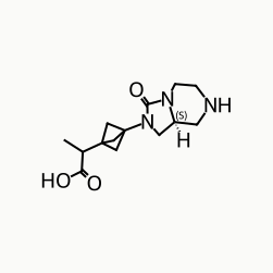 CC(C(=O)O)C12CC(N3C[C@@H]4CNCCN4C3=O)(C1)C2